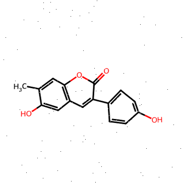 Cc1cc2oc(=O)c(-c3ccc(O)cc3)cc2cc1O